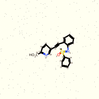 CS(=O)(=Nc1ccccc1C#Cc1ccc(C(=O)O)nc1)c1ccccc1